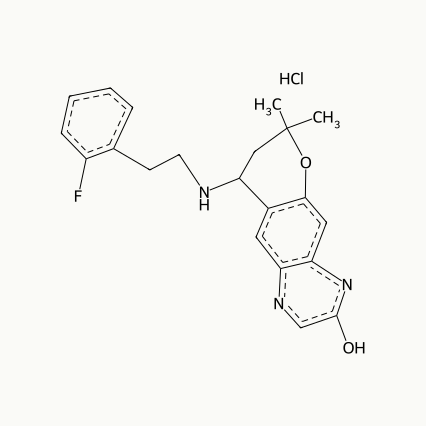 CC1(C)CC(NCCc2ccccc2F)c2cc3ncc(O)nc3cc2O1.Cl